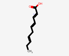 CCC=CCC=C/C=C/C(=O)O